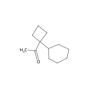 CC(=O)C1(C2CCCCC2)CCC1